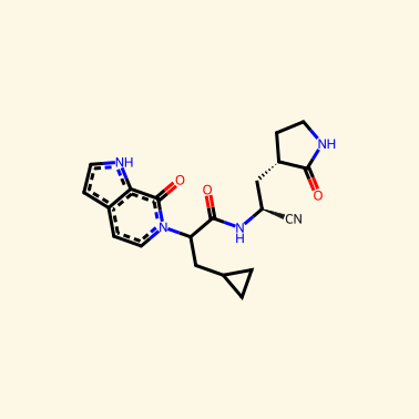 N#C[C@H](C[C@@H]1CCNC1=O)NC(=O)C(CC1CC1)n1ccc2cc[nH]c2c1=O